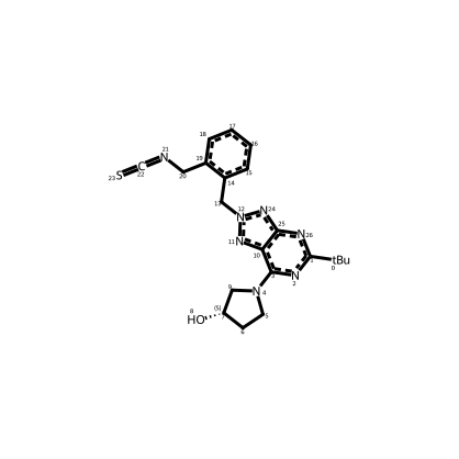 CC(C)(C)c1nc(N2CC[C@H](O)C2)c2nn(Cc3ccccc3CN=C=S)nc2n1